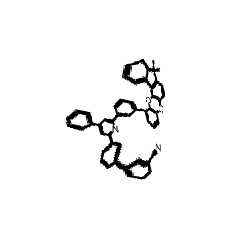 CC1(C)c2ccccc2-c2c1ccc1c2Oc2c(cccc2-c2cccc(-c3cc(-c4ccccc4)cc(-c4cccc(-c5cccc(C#N)c5)c4)n3)c2)O1